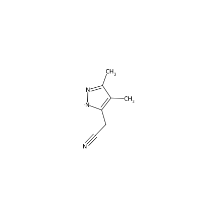 CC1=N[N]C(CC#N)=C1C